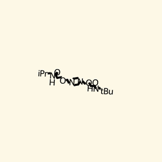 CC(C)CNC(=O)CCOCCN1CCN(CCOCC(=O)NCC(C)(C)C)CC1